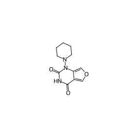 O=c1[nH]c(=O)n(N2CCCCC2)c2cocc12